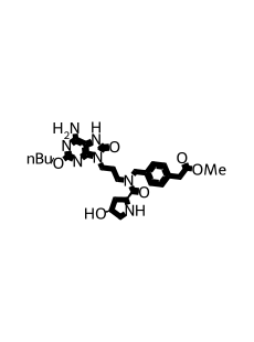 CCCCOc1nc(N)c2[nH]c(=O)n(CCCN(Cc3ccc(CC(=O)OC)cc3)C(=O)[C@@H]3C[C@@H](O)CN3)c2n1